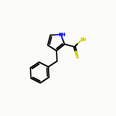 S=C(S)c1[nH]ccc1Cc1ccccc1